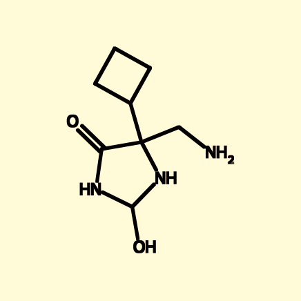 NCC1(C2CCC2)NC(O)NC1=O